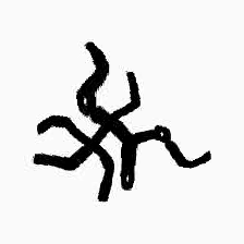 CCOC(=O)C(CC)(OCC)C(CC)(CC)CC